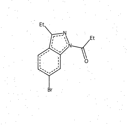 CCC(=O)n1nc(CC)c2ccc(Br)cc21